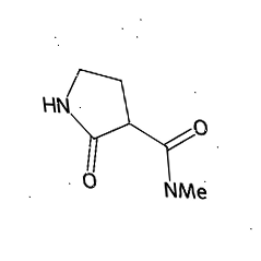 CNC(=O)C1CCNC1=O